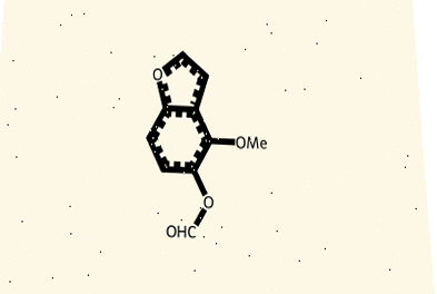 COc1c(OC=O)ccc2occc12